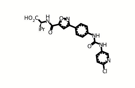 CC(C)[C@H](NC(=O)c1cc(-c2ccc(NC(=O)Nc3ccc(Cl)nc3)cc2)no1)C(=O)O